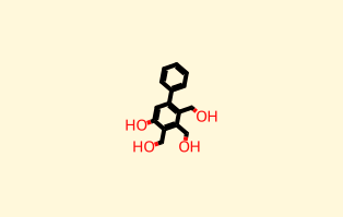 OCc1c(O)cc(-c2ccccc2)c(CO)c1CO